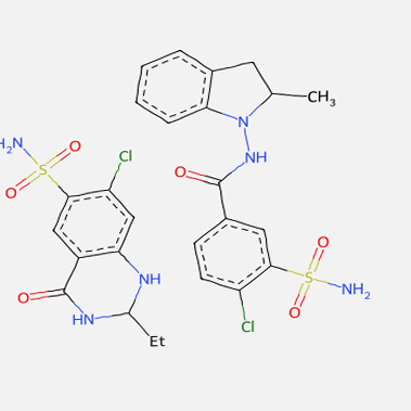 CC1Cc2ccccc2N1NC(=O)c1ccc(Cl)c(S(N)(=O)=O)c1.CCC1NC(=O)c2cc(S(N)(=O)=O)c(Cl)cc2N1